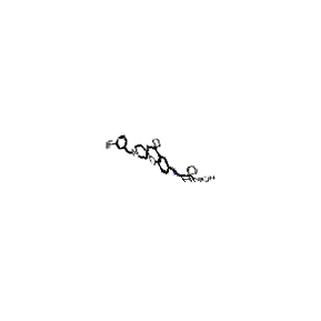 O=C(/C=C/c1ccc2c(c1)C(=O)CC1(CCN(Cc3cccc(F)c3)CC1)O2)NO